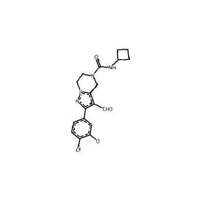 O=Cc1c(-c2ccc(Cl)c(Cl)c2)nn2c1CN(C(=O)NC1CCC1)CC2